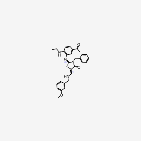 CCNc1ccc(C(C)=O)cc1/N=C1/S/C(=C\NCc2cccc(OC)c2)C(=O)N1Cc1ccccc1